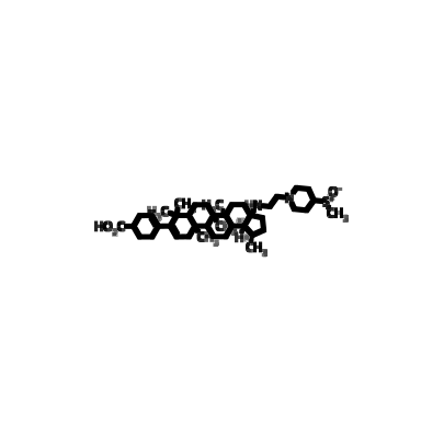 C[C@@H]1CCC2(NCCN3CCC([S+](C)[O-])CC3)CC[C@]3(C)C(CCC4C5(C)CC=C(C6=CCC(C(=O)O)CC6)C(C)(C)C5CCC43C)[C@@H]12